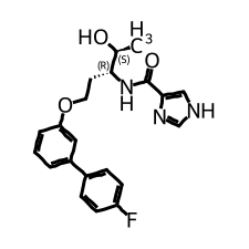 C[C@H](O)[C@@H](CCOc1cccc(-c2ccc(F)cc2)c1)NC(=O)c1c[nH]cn1